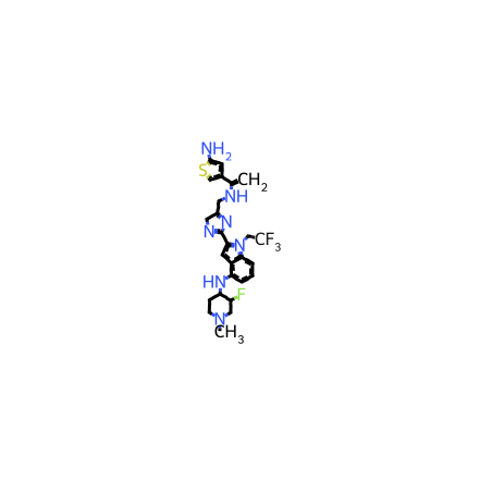 C=C(NCC1=NC(c2cc3c(NC4CCN(C)CC4F)cccc3n2CC(F)(F)F)=NC1)c1csc(N)c1